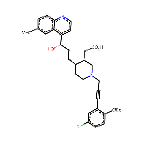 COc1ccc2nccc([C@@H](O)CC[C@@H]3CCN(CC#Cc4cc(Cl)ccc4OC)C[C@@H]3CC(=O)O)c2c1